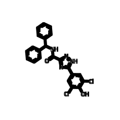 O=C(NC(c1ccccc1)c1ccccc1)c1n[nH]c(-c2cc(Cl)c(O)c(Cl)c2)n1